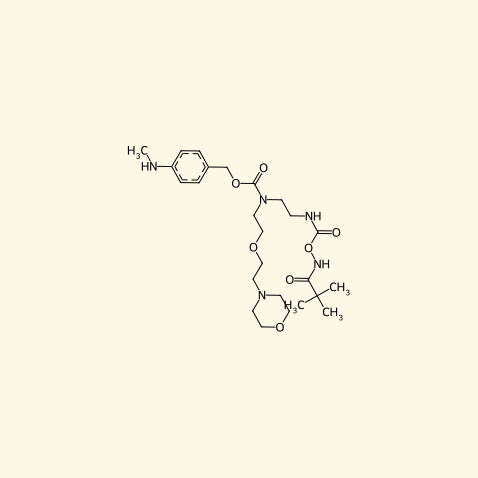 CNc1ccc(COC(=O)N(CCNC(=O)ONC(=O)C(C)(C)C)CCOCCN2CCOCC2)cc1